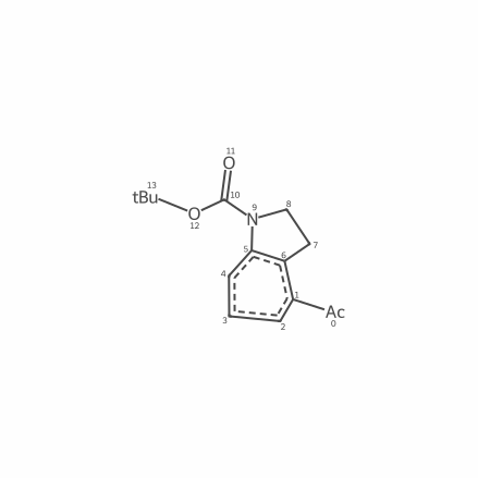 CC(=O)c1cccc2c1CCN2C(=O)OC(C)(C)C